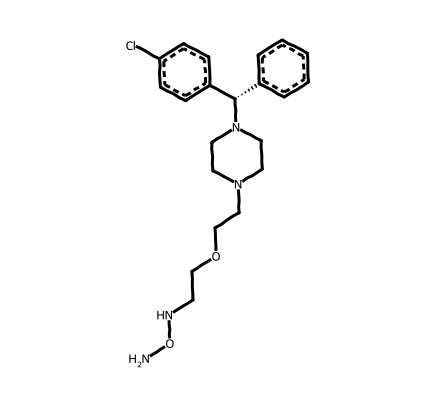 NONCCOCCN1CCN([C@@H](c2ccccc2)c2ccc(Cl)cc2)CC1